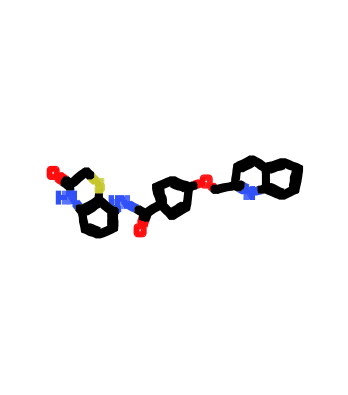 O=C1CSc2c(cccc2NC(=O)c2ccc(OCc3ccc4ccccc4n3)cc2)N1